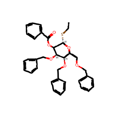 CCS[C@@H]1OC(COCc2ccccc2)[C@@H](OCc2ccccc2)[C@@H](OCc2ccccc2)C1OC(=O)c1ccccc1